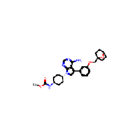 CC(C)(C)OC(=O)N[C@H]1CC[C@H](n2cc(-c3cccc(OCC45CCC(CC4)O5)c3)c3c(N)ncnc32)CC1